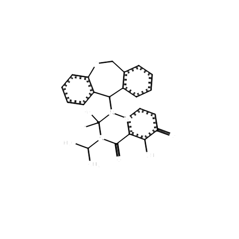 [2H]C1([2H])N(C(C)C)C(=O)c2c(O)c(=O)ccn2N1C1c2ccccc2CSc2ccccc21